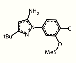 CSOc1cc(-n2nc(C(C)(C)C)cc2N)ccc1Cl